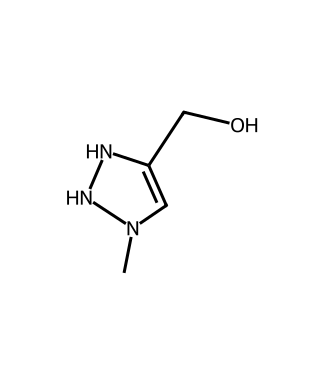 CN1C=C(CO)NN1